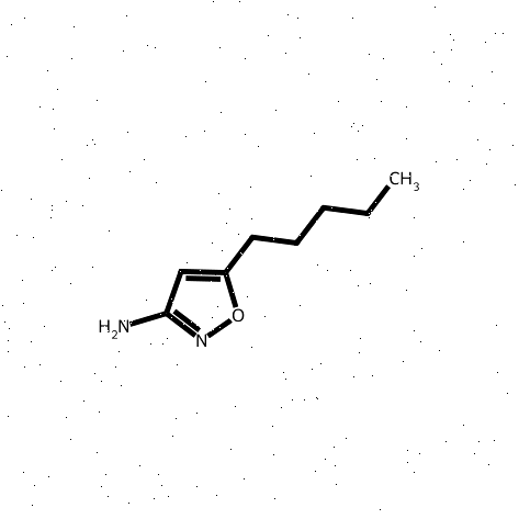 CCCCCc1cc(N)no1